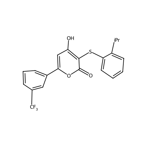 CC(C)c1ccccc1Sc1c(O)cc(-c2cccc(C(F)(F)F)c2)oc1=O